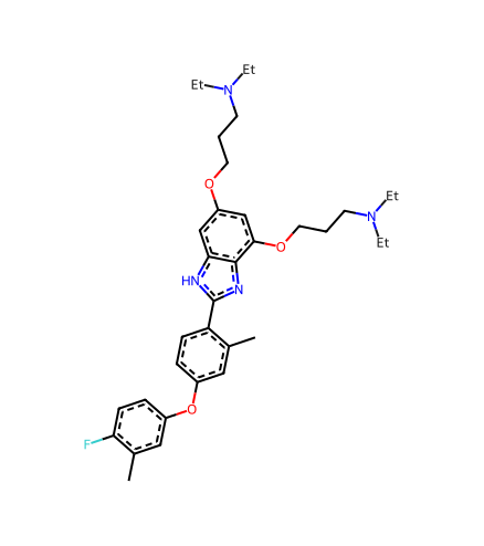 CCN(CC)CCCOc1cc(OCCCN(CC)CC)c2nc(-c3ccc(Oc4ccc(F)c(C)c4)cc3C)[nH]c2c1